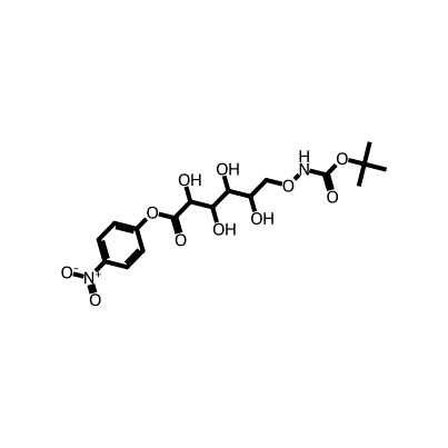 CC(C)(C)OC(=O)NOCC(O)C(O)C(O)C(O)C(=O)Oc1ccc([N+](=O)[O-])cc1